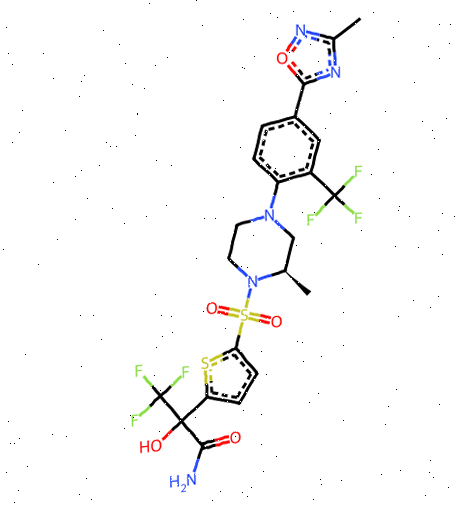 Cc1noc(-c2ccc(N3CCN(S(=O)(=O)c4ccc(C(O)(C(N)=O)C(F)(F)F)s4)[C@H](C)C3)c(C(F)(F)F)c2)n1